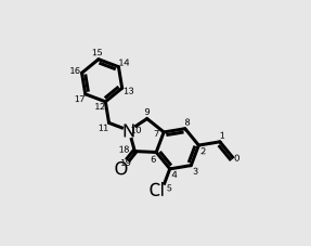 C=Cc1cc(Cl)c2c(c1)CN(Cc1ccccc1)C2=O